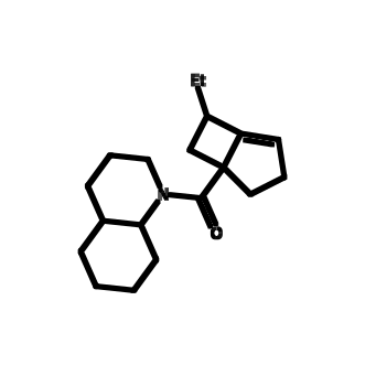 CCC1CC2(C(=O)N3CCCC4CCCCC43)CCC=C12